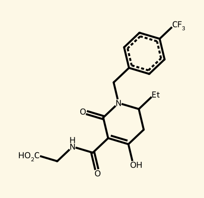 CCC1CC(O)=C(C(=O)NCC(=O)O)C(=O)N1Cc1ccc(C(F)(F)F)cc1